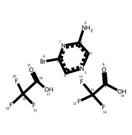 Nc1cncc(Br)n1.O=C(O)C(F)(F)F.O=C(O)C(F)(F)F